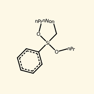 CCCCCCCCCC[Si](OCCC)(OCCC)c1ccccc1